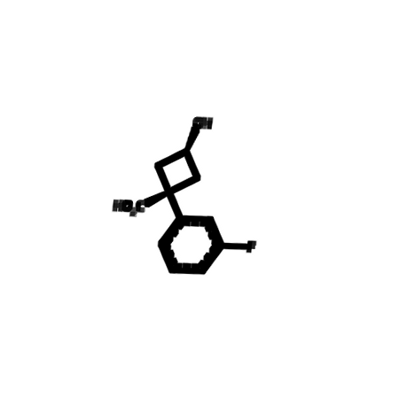 O=C(O)[C@]1(c2cccc(F)c2)C[C@H](O)C1